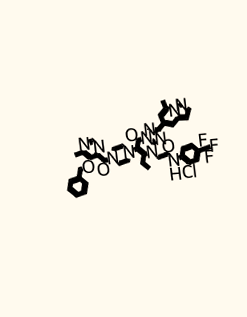 CCc1c(N2CCN(C(=O)c3ncnc(C)c3OCc3ccccc3)CC2)c(=O)n2nc(-c3cc(C)n4nccc4c3)nc2n1CC(=O)Nc1ccc(C(F)(F)F)cc1Cl